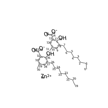 CCCCCCCCc1cc(C)cc(C(=O)[O-])c1O.CCCCCCCCc1cc(C)cc(C(=O)[O-])c1O.[Zn+2]